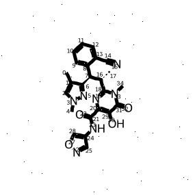 Cc1cn(C)nc1[C@@H](c1ccccc1C#N)[C@H](C)c1nc(C(=O)Nc2cnoc2)c(O)c(=O)n1C